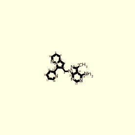 Cc1nn(Cc2cc3cccnn3c2-c2ccccn2)c2ncnc(N)c12